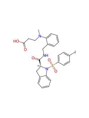 CN(CCC(=O)O)c1ccccc1CNC(=O)[C@@H]1Cc2ccccc2N1S(=O)(=O)c1ccc(I)cc1